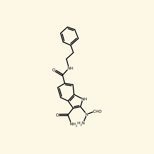 NC(=O)c1c(N(N)C=O)[nH]c2cc(C(=O)NCCc3ccccc3)ccc12